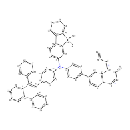 C=C/C=C\c1ccc(-c2ccc(N(c3ccc(-c4c(-c5ccccc5)c5ccccc5c5ccccc45)cc3)c3ccc4c(c3)C(C)(C)c3ccccc3-4)cc2)cc1/C=C\C=C